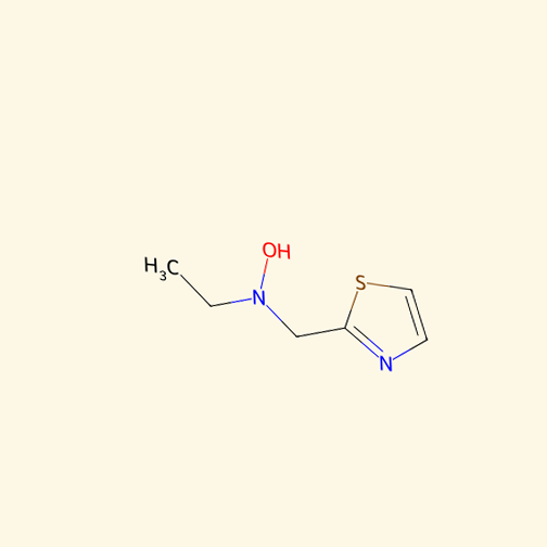 CCN(O)Cc1nccs1